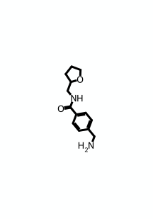 NCc1ccc(C(=O)NCC2CCCO2)cc1